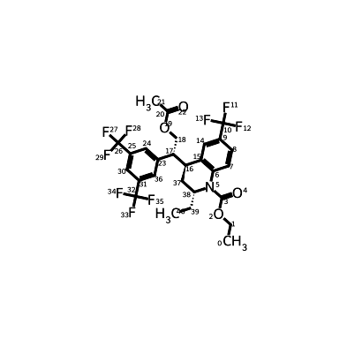 CCOC(=O)N1c2ccc(C(F)(F)F)cc2[C@H]([C@@H](COC(C)=O)c2cc(C(F)(F)F)cc(C(F)(F)F)c2)C[C@H]1CC